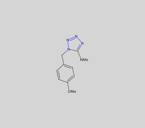 CNc1nnnn1Cc1ccc(OC)cc1